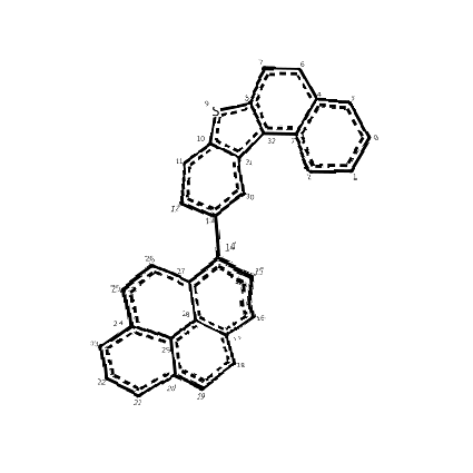 c1ccc2c(c1)ccc1sc3ccc(-c4ccc5ccc6cccc7ccc4c5c67)cc3c12